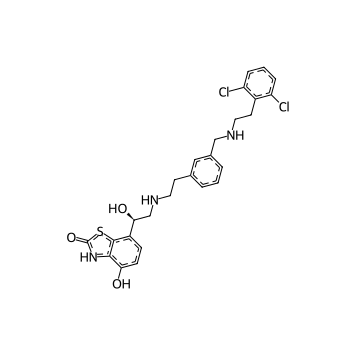 O=c1[nH]c2c(O)ccc([C@@H](O)CNCCc3cccc(CNCCc4c(Cl)cccc4Cl)c3)c2s1